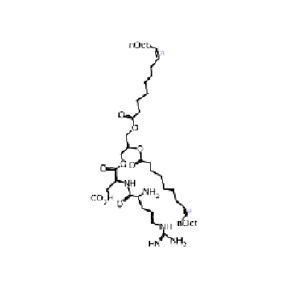 CCCCCCCC/C=C\CCCCCCC(=O)OCC(COC(=O)C(CC(=O)O)NC(=O)C(N)CCCNC(=N)N)OC(=O)CCCCCC/C=C\CCCCCCCC